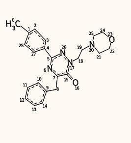 Cc1ccc(-c2nc(Cc3ccccc3)c(=O)n(CCN3CCOCC3)n2)cc1